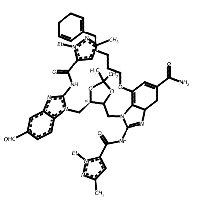 CCn1nc(C)cc1C(=O)NC1=NC2CC(C(N)=O)=CC(OCCCOCC3=CCCC=C3)=C2N1CC1OC(C)(C)O[C@@H]1Cn1c(NC(=O)c2cc(C)nn2CC)nc2cc(C=O)ccc21